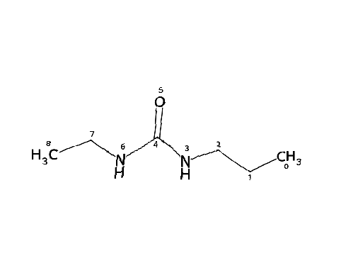 CCCNC(=O)NCC